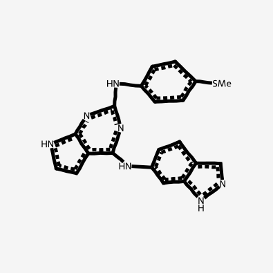 CSc1ccc(Nc2nc(Nc3ccc4cn[nH]c4c3)c3cc[nH]c3n2)cc1